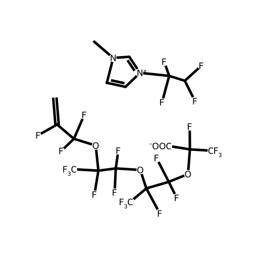 C=C(F)C(F)(F)OC(F)(C(F)(F)F)C(F)(F)OC(F)(C(F)(F)F)C(F)(F)OC(F)(C(=O)[O-])C(F)(F)F.Cn1cc[n+](C(F)(F)C(F)F)c1